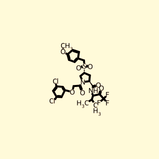 COc1ccc(CS(=O)(=O)[C@@H]2C[C@@H](C(=O)NC(C(=O)C(F)(F)F)C(C)C)N(C(=O)COc3cc(Cl)cc(Cl)c3)C2)cc1